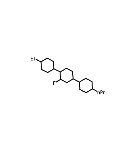 CCCC1CCC(C2CCC(C3CCC(CC)CC3)C(F)C2)CC1